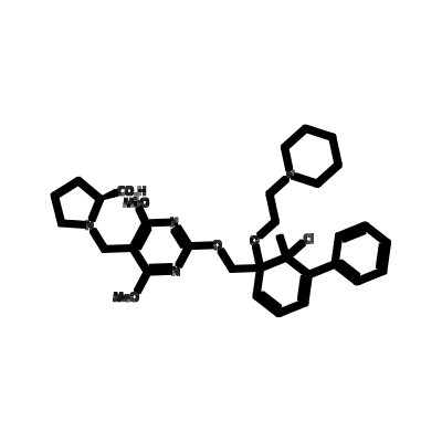 COc1nc(OCC2(OCCN3CCCCC3)C=CC=C(c3ccccc3)C2(C)Cl)nc(OC)c1CN1CCC[C@H]1C(=O)O